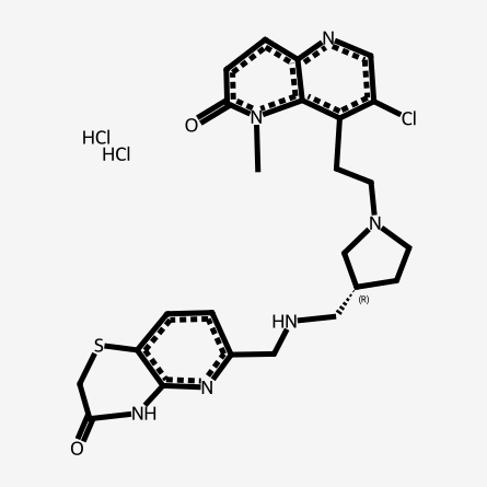 Cl.Cl.Cn1c(=O)ccc2ncc(Cl)c(CCN3CC[C@H](CNCc4ccc5c(n4)NC(=O)CS5)C3)c21